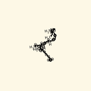 CCCCc1nc2c(N)nc3ccsc3c2n1Cc1ccc(CN2CCN(CCNC(=O)OCc3ccc(NC(=O)[C@H](CCCNC(N)=O)NC(=O)[C@@H](NC(=O)CCOCCOCCOCCN4C(=O)C=CC4=O)C(C)C)cc3)CC2)cc1